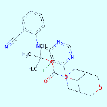 CC(C)(C)OC(=O)N1CC2COCC(C1)C2Oc1ncnc(Nc2ccccc2C#N)c1F